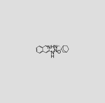 c1ccc2cc(NN3NC[C@]4(CC5CCC4CC5)O3)ncc2c1